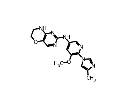 COc1cc(Nc2ncc3c(n2)NCCO3)cnc1-n1cnc(C)c1